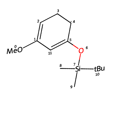 COC1=CC[CH]C(O[Si](C)(C)C(C)(C)C)=C1